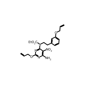 C=CCOc1cccc(CCN(C(=O)OCC)c2nc(OCC=C)nc(N)c2[N+](=O)[O-])c1